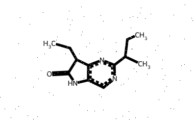 CCC(C)c1ncc2c(n1)C(CC)C(=O)N2